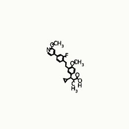 COc1cc(-c2ccc(CCc3cc(C(C4CC4)[C@H](C)C(=O)O)ccc3OC)c(F)c2)ccn1